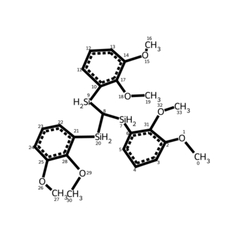 COc1cccc([SiH2]C([SiH2]c2cccc(OC)c2OC)[SiH2]c2cccc(OC)c2OC)c1OC